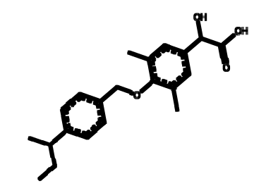 CCC(C)c1ccc(COc2c(C)cc(C(O)C(=O)O)cc2C)cc1